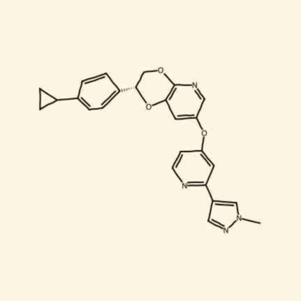 Cn1cc(-c2cc(Oc3cnc4c(c3)O[C@H](c3ccc(C5CC5)cc3)CO4)ccn2)cn1